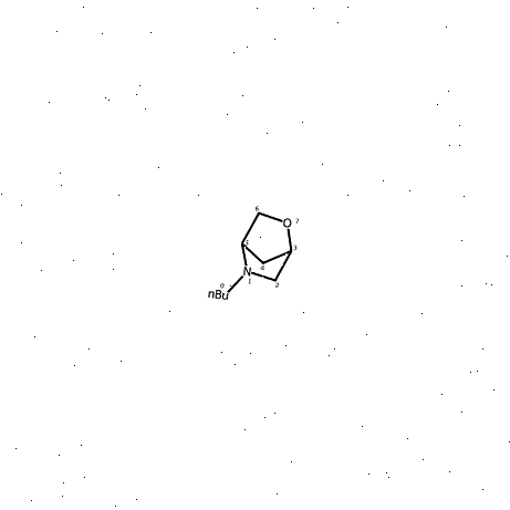 CCCCN1CC2CC1CO2